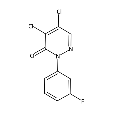 O=c1c(Cl)c(Cl)cnn1-c1cccc(F)c1